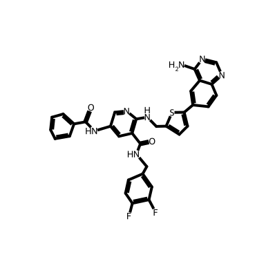 Nc1ncnc2ccc(-c3ccc(CNc4ncc(NC(=O)c5ccccc5)cc4C(=O)NCc4ccc(F)c(F)c4)s3)cc12